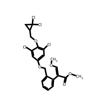 CO/C=C(/C(=O)OC)c1ccccc1COc1cc(Cl)c(OCC2CC2(Cl)Cl)c(Cl)c1